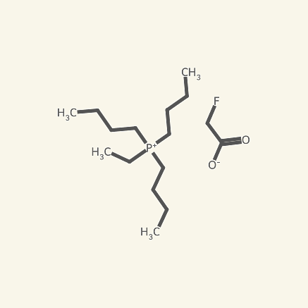 CCCC[P+](CC)(CCCC)CCCC.O=C([O-])CF